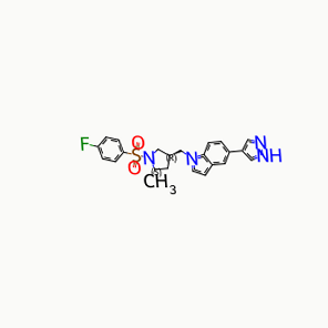 C[C@H]1C[C@H](Cn2ccc3cc(-c4cn[nH]c4)ccc32)CN1S(=O)(=O)c1ccc(F)cc1